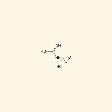 C1CO1.Cl.N=C(N)N